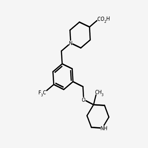 CC1(OCc2cc(CN3CCC(C(=O)O)CC3)cc(C(F)(F)F)c2)CCNCC1